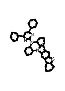 c1ccc(-c2cc(-c3ccccc3)nc(N3c4ccccc4-n4c5cc6c(cc5c5cccc3c54)sc3ccccc36)n2)cc1